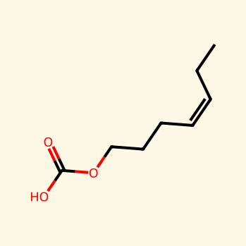 CC/C=C\CCCOC(=O)O